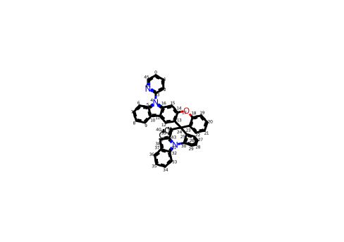 c1ccc(-n2c3ccccc3c3cc4c(cc32)Oc2ccccc2C42c3ccccc3-n3c4ccccc4c4cccc2c43)nc1